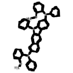 COc1ccccc1N(c1ccccc1)c1ccc2cc3c4ccc(N(c5ccccc5)c5ccccc5OC)cc4n(-c4ccccc4)c3cc2c1